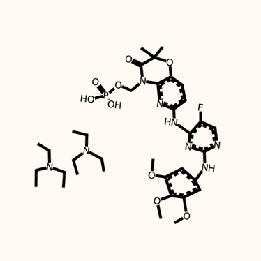 CCN(CC)CC.CCN(CC)CC.COc1cc(Nc2ncc(F)c(Nc3ccc4c(n3)N(COP(=O)(O)O)C(=O)C(C)(C)O4)n2)cc(OC)c1OC